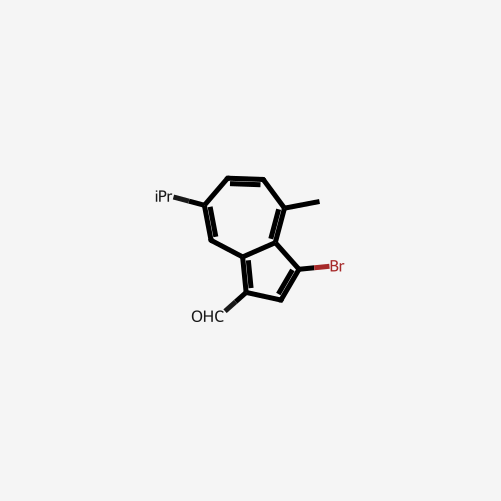 Cc1ccc(C(C)C)cc2c(C=O)cc(Br)c1-2